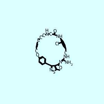 Cc1snc2c1C(=O)/N=C(\N)NCc1ccc(c(Cl)c1)NC(=O)CNCCCC=CCOc1ccc-2cc1